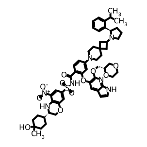 CC(C)c1ccccc1[C@H]1CCCN1C1CC2(CCN(c3ccc(C(=O)NS(=O)(=O)c4cc5c(c([N+](=O)[O-])c4)N[C@@H](C4CCC(C)(O)CC4)CO5)c(Oc4cc5cc[nH]c5nc4OC[C@@H]4COCCO4)c3)CC2)C1